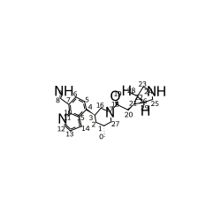 C[C@@H]1C[C@@H](c2ccc(C=N)c3ncccc23)CN(C(=O)C[C@H]2[C@@H]3CNC[C@@H]32)C1